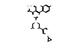 CC1CN(c2nc(-c3ccc(Cl)cc3F)c3cnn(C)c(=O)c3n2)CC(c2cnn(C3CC3)c2)O1